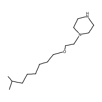 CC(C)CCCCCCOCCN1CCNCC1